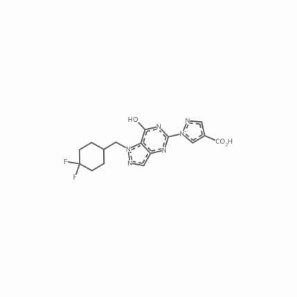 O=C(O)c1cnn(-c2nc(O)c3c(cnn3CC3CCC(F)(F)CC3)n2)c1